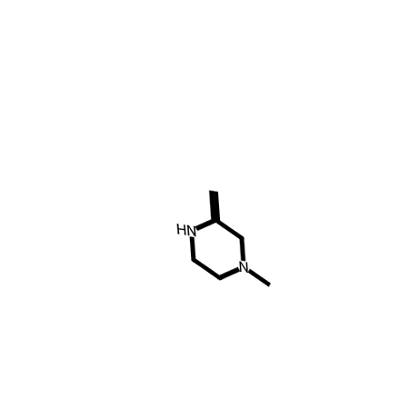 C=C1CN(C)CCN1